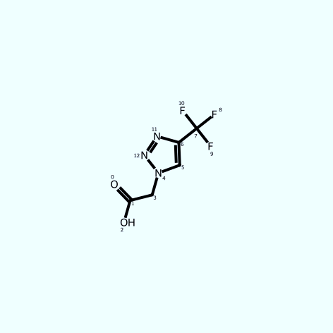 O=C(O)Cn1cc(C(F)(F)F)nn1